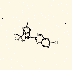 [2H]C([2H])([2H])n1nc(C)cc1Nc1ncc2cc(Cl)ccc2n1